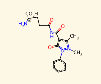 Cc1c(C(=O)NC(=O)CC[C@H](N)C(=O)O)c(=O)n(-c2ccccc2)n1C